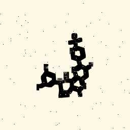 Cc1nc2cc(F)c(-c3ccc(P(C)(C)=O)nc3)nc2c(N[C@@H](c2cc(F)cc(F)c2)C2CC2)c1Cl